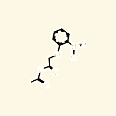 CC(=O)OC(=O)COc1ccccc1[N+](=O)[O-]